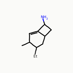 CCC1CC2CC(N)C2=CC1C